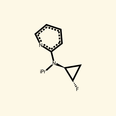 CC(C)N(c1ccccn1)[C@H]1C[C@@H]1F